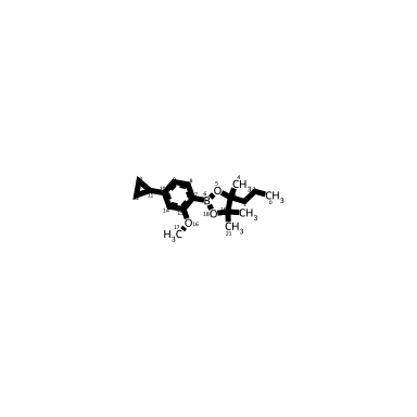 CCCC1(C)OB(c2ccc(C3CC3)cc2OC)OC1(C)C